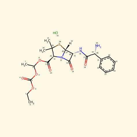 CCOC(=O)OC(C)OC(=O)[C@@H]1N2C(=O)[C@@H](NC(=O)[C@H](N)c3ccccc3)[C@H]2SC1(C)C.Cl